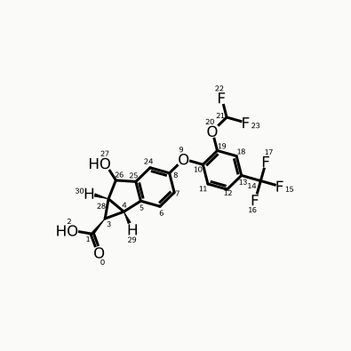 O=C(O)[C@@H]1[C@H]2c3ccc(Oc4ccc(C(F)(F)F)cc4OC(F)F)cc3C(O)[C@@H]12